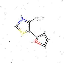 CCOC(=O)c1ncsc1-c1ccco1